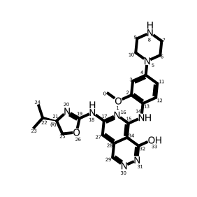 COc1cc(N2CCNCC2)ccc1Nc1nc(NC2=N[C@H](C(C)C)CO2)cc2cnnc(O)c12